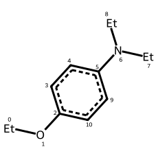 CCOc1ccc(N(CC)CC)cc1